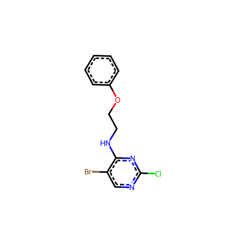 Clc1ncc(Br)c(NCCOc2ccccc2)n1